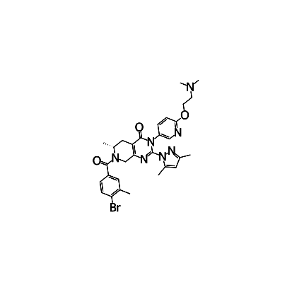 Cc1cc(C)n(-c2nc3c(c(=O)n2-c2ccc(OCCN(C)C)nc2)C[C@@H](C)N(C(=O)c2ccc(Br)c(C)c2)C3)n1